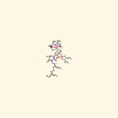 CCCC1(CCC)O[C@@H]2[C@@H](O1)[C@H](n1cc(F)c(=O)n(CC=C(C)CCC=C(C)C)c1=O)O[C@H]2CP(O)(O)(CCC#N)N(C(C)C)C(C)C